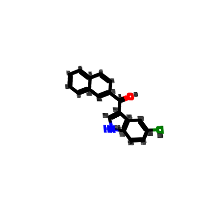 O=C(c1ccc2ccccc2c1)c1c[nH]c2ccc(Cl)cc12